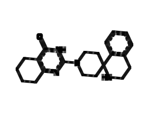 O=c1[nH]c(N2CCC3(CC2)NCCc2ccccc23)nc2c1CCCC2